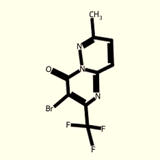 Cc1ccc2nc(C(F)(F)F)c(Br)c(=O)n2n1